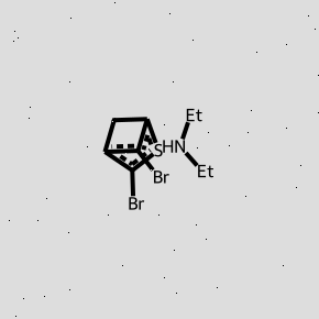 Brc1sc2c(Br)c1C2.CCNCC